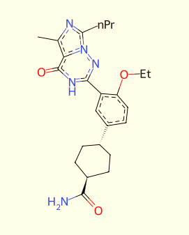 CCCc1nc(C)c2c(=O)[nH]c(-c3cc([C@H]4CC[C@H](C(N)=O)CC4)ccc3OCC)nn12